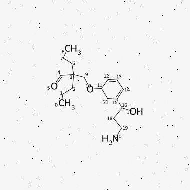 CCCC(C=O)(CCC)COC1C=CC=C(C(O)CCN)C1